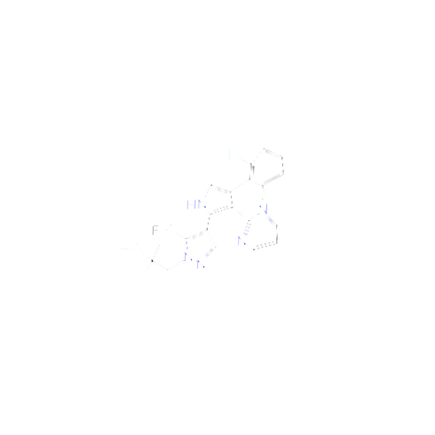 CC(C)(O)Cn1ncc(-c2[nH]cc(-c3c(F)cccc3Cl)c2-c2ncccn2)c1C(F)(F)F